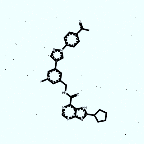 CC(=O)c1ccc(-n2cc(-c3cc(F)cc(CNC(=O)c4ncnc5nc(C6CCCC6)[nH]c45)c3)cn2)cc1